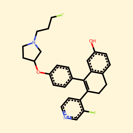 Oc1ccc2c(c1)C(c1ccc(OC3CCN(CCCF)C3)cc1)=C(c1ccncc1F)CC2